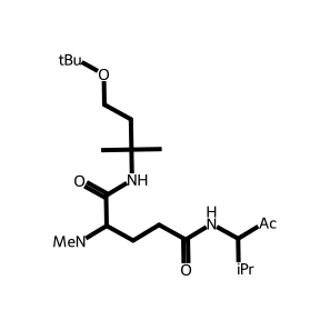 CNC(CCC(=O)NC(C(C)=O)C(C)C)C(=O)NC(C)(C)CCOC(C)(C)C